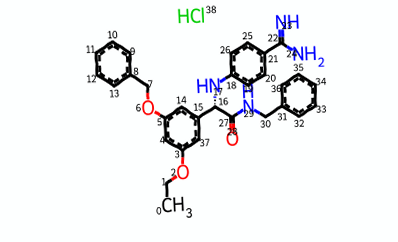 CCOc1cc(OCc2ccccc2)cc([C@H](Nc2ccc(C(=N)N)cc2)C(=O)NCc2ccccc2)c1.Cl